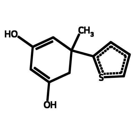 CC1(c2cccs2)C=C(O)C=C(O)C1